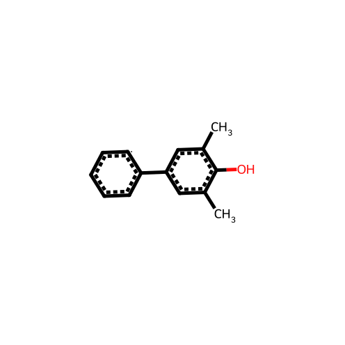 Cc1cc(-c2[c]cccc2)cc(C)c1O